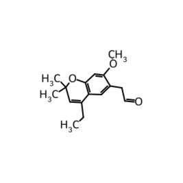 CCC1=CC(C)(C)Oc2cc(OC)c(CC=O)cc21